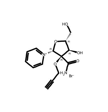 C#CCO[C@]1(C(N)=O)[C@H](O)[C@@H](CO)O[C@H]1[n+]1ccccc1.[Br-]